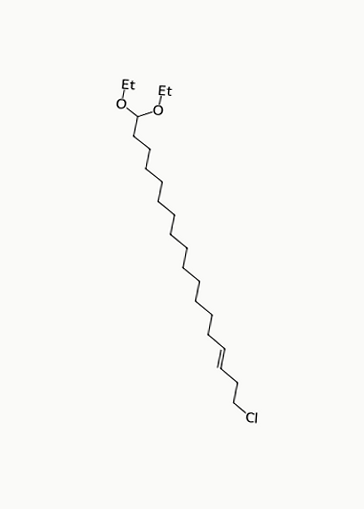 CCOC(CCCCCCCCCCCCC/C=C/CCCl)OCC